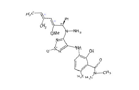 C/C=C(C)/C=C(\OC)[C@@H](C(C)C)N(N)c1n[s+]([O-])nc1Nc1ccc(C)c(C(=O)N(C)C)c1O